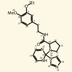 CCOc1cc(CCNC(=O)C2CCCN2C2(n3ccnc3)N=CC=CN2)ccc1OC